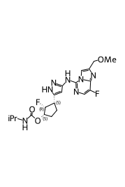 COCc1cn2c(Nc3cc([C@@H]4CC[C@H](OC(=O)NC(C)C)[C@@H]4F)[nH]n3)ncc(F)c2n1